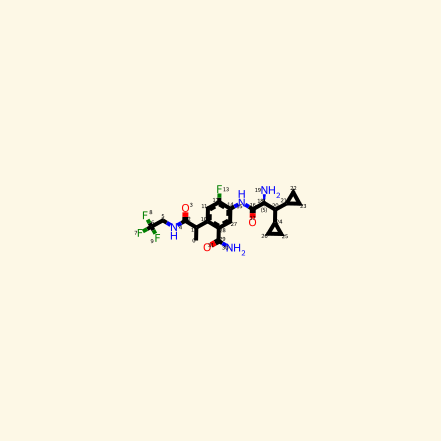 CC(C(=O)NCC(F)(F)F)c1cc(F)c(NC(=O)[C@@H](N)C(C2CC2)C2CC2)cc1C(N)=O